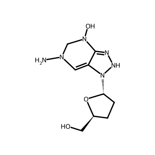 NN1C=C2C(=NNN2[C@@H]2CC[C@@H](CO)O2)N(O)C1